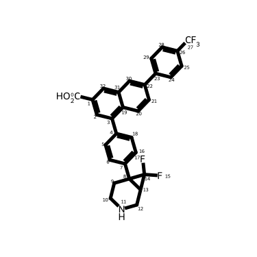 O=C(O)c1cc(-c2ccc(C34CCNCC3C4(F)F)cc2)c2ccc(-c3ccc(C(F)(F)F)cc3)cc2c1